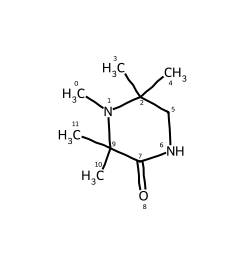 CN1C(C)(C)CNC(=O)C1(C)C